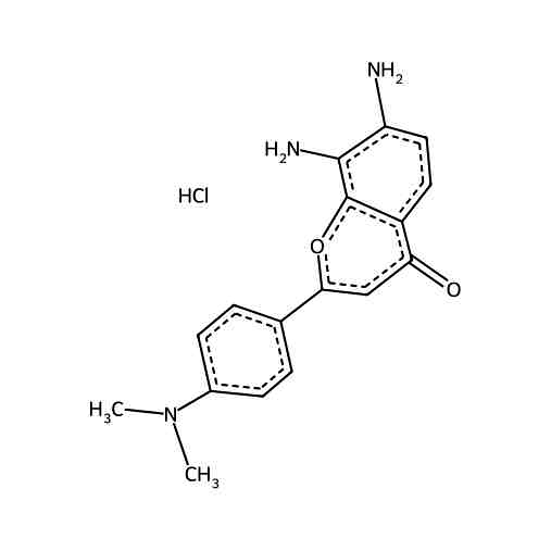 CN(C)c1ccc(-c2cc(=O)c3ccc(N)c(N)c3o2)cc1.Cl